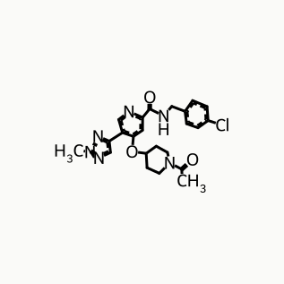 CC(=O)N1CCC(Oc2cc(C(=O)NCc3ccc(Cl)cc3)ncc2-c2cnn(C)n2)CC1